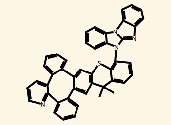 CC1(C)c2cc3c(cc2Sc2c(-n4c5ccccc5n5c6ccccc6nc45)cccc21)-c1ccccc1-c1cccnc1-c1ccccc1-3